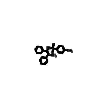 Cc1ccc(S(=O)(=O)NC(=C(N)c2ccccc2)c2ccccc2)cc1